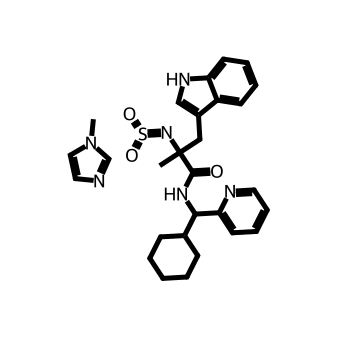 CC(Cc1c[nH]c2ccccc12)(N=S(=O)=O)C(=O)NC(c1ccccn1)C1CCCCC1.Cn1ccnc1